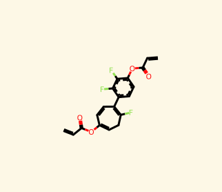 C=CC(=O)OC1=CCC(F)=C(c2ccc(OC(=O)C=C)c(F)c2F)C=C1